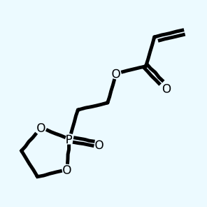 C=CC(=O)OCCP1(=O)OCCO1